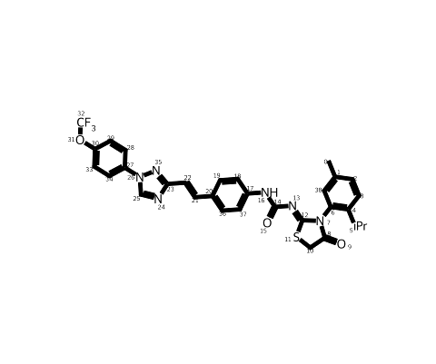 Cc1ccc(C(C)C)c(N2C(=O)CS/C2=N\C(=O)Nc2ccc(/C=C/c3ncn(-c4ccc(OC(F)(F)F)cc4)n3)cc2)c1